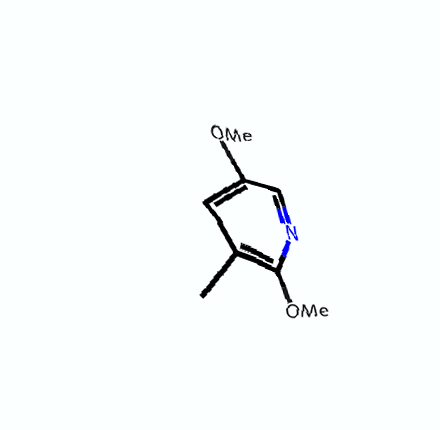 COc1cnc(OC)c(C)c1